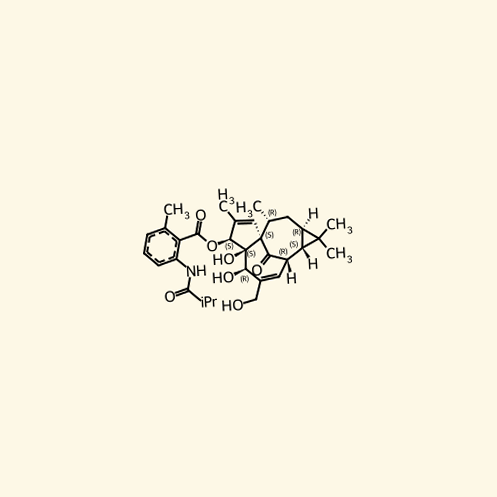 CC1=C[C@]23C(=O)[C@@H](C=C(CO)[C@@H](O)[C@]2(O)[C@H]1OC(=O)c1c(C)cccc1NC(=O)C(C)C)[C@@H]1[C@@H](C[C@H]3C)C1(C)C